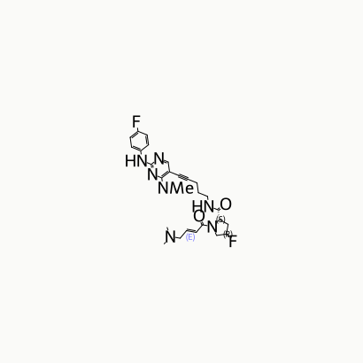 CNc1nc(Nc2ccc(F)cc2)ncc1C#CCCCNC(=O)[C@@H]1C[C@@H](F)CN1C(=O)/C=C/CN(C)C